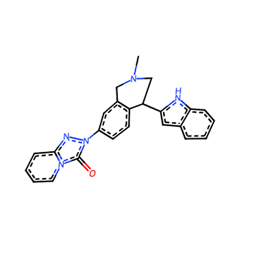 CN1Cc2cc(-n3nc4ccccn4c3=O)ccc2C(c2cc3ccccc3[nH]2)C1